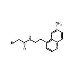 Nc1ccc2cccc(CCNC(=O)CBr)c2c1